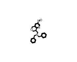 O=Nc1cnc2c(c1)COCC2CN(Cc1ccccc1)Cc1ccccc1